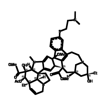 CC[C@]1(O)C[C@H]2CN(CCC3=C(Cc4ccc(SCCN(C)C)cc43)[C@@](C(=O)OC)(C3C=C4C(=CC3OC)N(C)[C@H]3[C@@](O)(C(=O)OC)[C@H](OC(C)=O)[C@]5(CC)C=CCN6CC[C@]43[C@@H]65)C2)C1